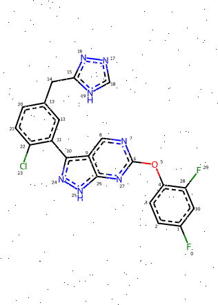 Fc1ccc(Oc2ncc3c(-c4cc(Cc5nnc[nH]5)ccc4Cl)n[nH]c3n2)c(F)c1